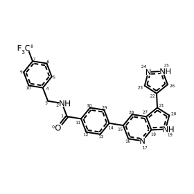 O=C(NCc1ccc(C(F)(F)F)cc1)c1ccc(-c2cnc3[nH]cc(-c4cn[nH]c4)c3c2)cc1